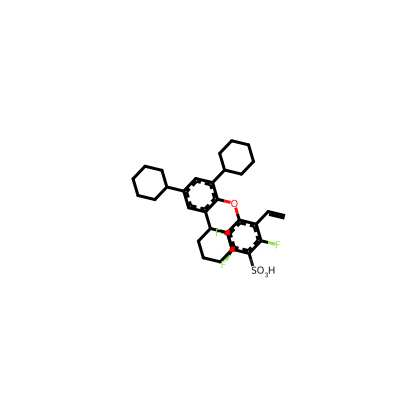 C=Cc1c(F)c(S(=O)(=O)O)c(F)c(F)c1Oc1c(C2CCCCC2)cc(C2CCCCC2)cc1C1CCCCC1